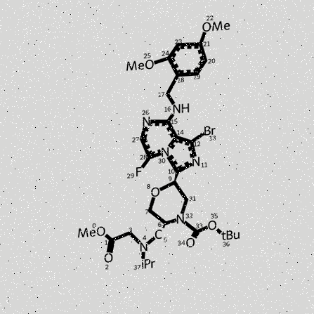 COC(=O)CN(C[C@@H]1CO[C@@H](c2nc(Br)c3c(NCc4ccc(OC)cc4OC)ncc(F)n23)CN1C(=O)OC(C)(C)C)C(C)C